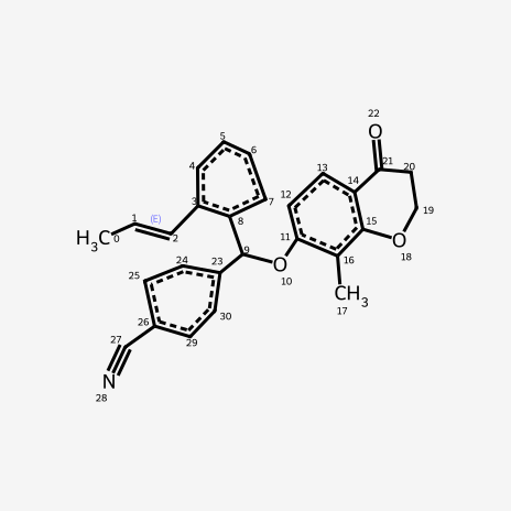 C/C=C/c1ccccc1C(Oc1ccc2c(c1C)OCCC2=O)c1ccc(C#N)cc1